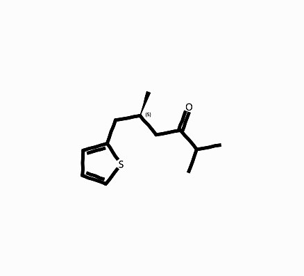 CC(C)C(=O)C[C@H](C)Cc1cccs1